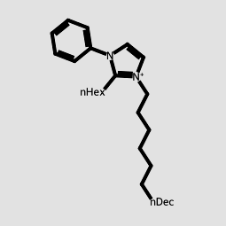 CCCCCCCCCCCCCCCC[n+]1ccn(-c2ccccc2)c1CCCCCC